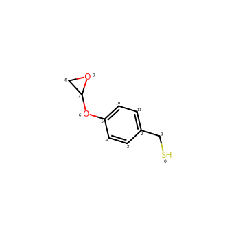 SCc1ccc(OC2CO2)cc1